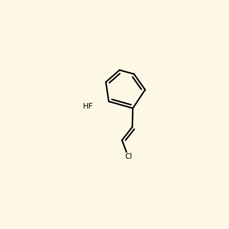 ClC=Cc1ccccc1.F